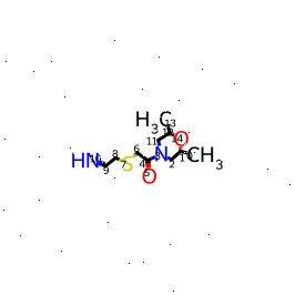 CC1CN(C(=O)CSCC=N)CC(C)O1